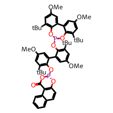 COc1cc(-c2cc(OC)cc(C(C)(C)C)c2Op2oc3c(C(C)(C)C)cc(OC)cc3c3cc(OC)cc(C(C)(C)C)c3o2)c(OP2OC(=O)c3c(ccc4ccccc34)O2)c(C(C)(C)C)c1